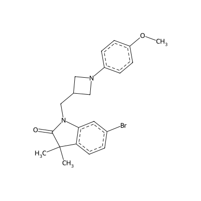 COc1ccc(N2CC(CN3C(=O)C(C)(C)c4ccc(Br)cc43)C2)cc1